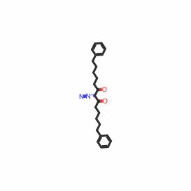 [N-]=[N+]=C(C(=O)CCCCCc1ccccc1)C(=O)CCCCCc1ccccc1